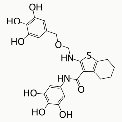 O=C(Nc1cc(O)c(O)c(O)c1)c1c(NCOCc2cc(O)c(O)c(O)c2)sc2c1CCCC2